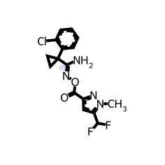 Cn1nc(C(=O)O/N=C(\N)C2(c3ccccc3Cl)CC2)cc1C(F)F